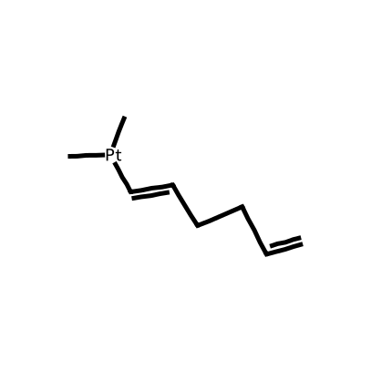 C=CCCC=[CH][Pt]([CH3])[CH3]